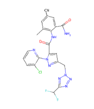 Cc1cc(C#N)cc(C(N)=O)c1NC(=O)c1cc(Cn2nnc(C(F)F)n2)nn1-c1ncccc1Cl